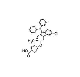 COCc1c(CCOc2ccc(C(=O)O)cc2)c2cc(Cl)ccc2n1C(c1ccccc1)c1ccccc1